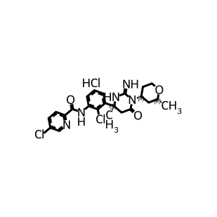 C[C@@H]1C[C@H](N2C(=N)N[C@](C)(c3cccc(NC(=O)c4ccc(Cl)cn4)c3Cl)CC2=O)CCO1.Cl